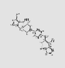 N[C@@H]1c2c(F)cnn2CC12CCN(c1cnc(Sc3ccn4ccnc4c3Cl)cn1)CC2